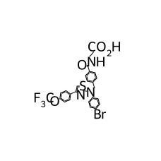 O=C(O)CCNC(=O)c1ccc(CN(c2ccc(Br)cc2)c2nc(-c3ccc(OC(F)(F)F)cc3)cs2)cc1